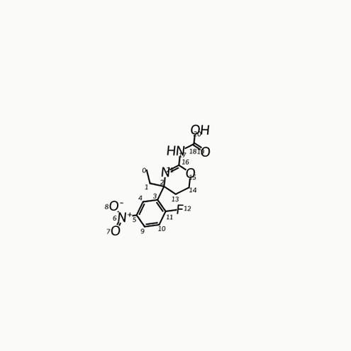 CCC1(c2cc([N+](=O)[O-])ccc2F)CCOC(NC(=O)O)=N1